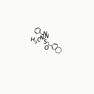 Cn1c(SCC(=O)c2ccc3c(c2)CCCC3)nnc1-c1ccccc1